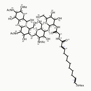 CCCCCC/C=C/CCCCCCC/C=C/C(=O)NCC(=O)NC1C(OC2C(CO)OC(OC3C(CO)OC(OC4C(CO)OC(OC)C(NC(C)=O)C4O)C(NC(C)=O)C3O)C(NC(C)=O)C2O)OC(CO)C(O)C1O